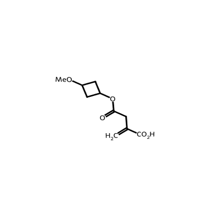 C=C(CC(=O)OC1CC(OC)C1)C(=O)O